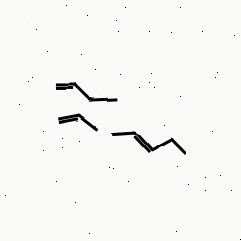 C=CC.C=CCC.CC=CCC